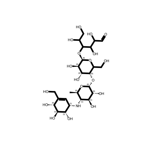 C[C@H]1O[C@H](O[C@H]2C(CO)O[C@H](OC(C(O)CO)C(O)C(O)C=O)[C@H](O)[C@H]2O)[C@H](O)[C@@H](O)[C@@H]1N[C@H]1C=C(CO)[C@@H](O)[C@H](O)[C@H]1O